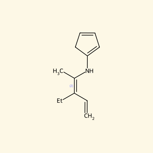 C=C/C(CC)=C(/C)NC1=CC=CC1